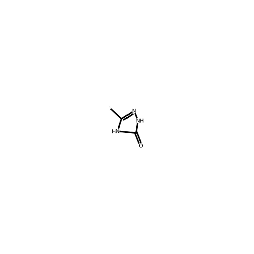 O=c1[nH]nc(I)[nH]1